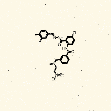 CCN(CC)CCN(C)Cc1cccc(C(=O)Nc2ccc(Cl)cc2C(=O)N/N=C/c2ccc(C)c(C)c2)c1